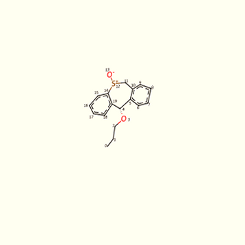 CCCO[C@H]1c2ccccc2C[S+]([O-])c2ccccc21